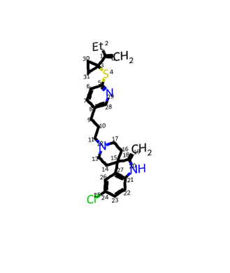 C=C(CC)C1(Sc2ccc(CCCN3CCC4(CC3)C(=C)Nc3ccc(Cl)cc34)cn2)CC1